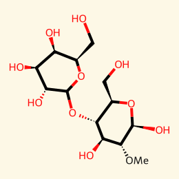 CO[C@@H]1[C@@H](O)[C@H](OC2O[C@H](CO)[C@H](O)[C@H](O)[C@H]2O)[C@@H](CO)O[C@H]1O